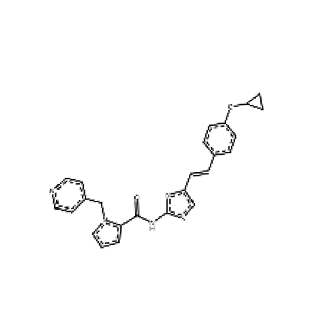 O=C(Nc1nc(/C=C/c2ccc(OC3CC3)cc2)cs1)c1cccn1Cc1ccncc1